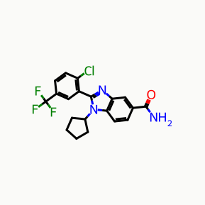 NC(=O)c1ccc2c(c1)nc(-c1cc(C(F)(F)F)ccc1Cl)n2C1CCCC1